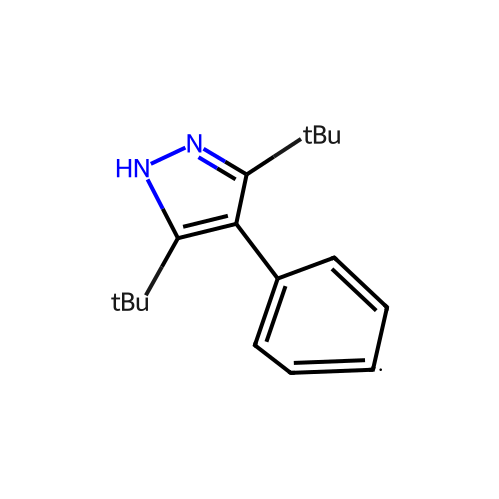 CC(C)(C)c1n[nH]c(C(C)(C)C)c1-c1cc[c]cc1